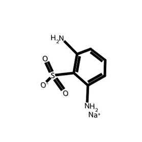 Nc1cccc(N)c1S(=O)(=O)[O-].[Na+]